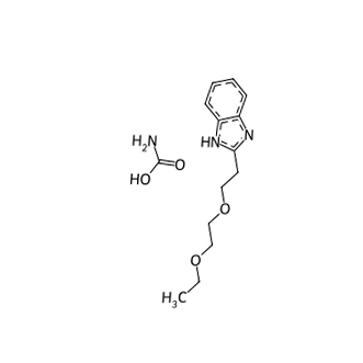 CCOCCOCCc1nc2ccccc2[nH]1.NC(=O)O